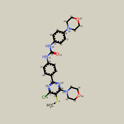 CSc1c(Cl)nc(-c2ccc(NC(=O)Nc3ccc(N4CCOCC4)cc3)cc2)nc1N1CCOCC1